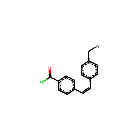 CC(C)Cc1ccc(/C=C\c2ccc(C(=O)Cl)cc2)cc1